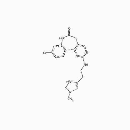 CN1C=C(CCNc2ncc3c(n2)-c2ccc(Cl)cc2NC(=O)C3)NC1